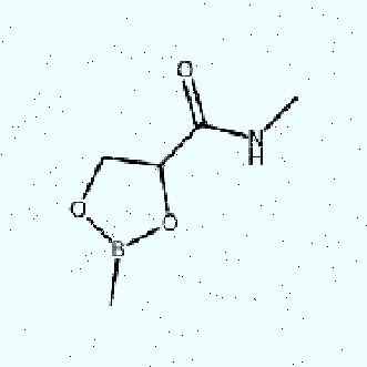 CNC(=O)C1COB(C)O1